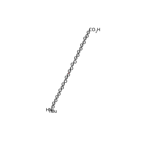 CCCCNCCOCCOCCOCCOCCOCCOCCOCCOCCOCCOCCOCCOCCOCCOCCOCCOCCOCCOCCOCCOCCOCCOCCOCCOCCC(=O)O